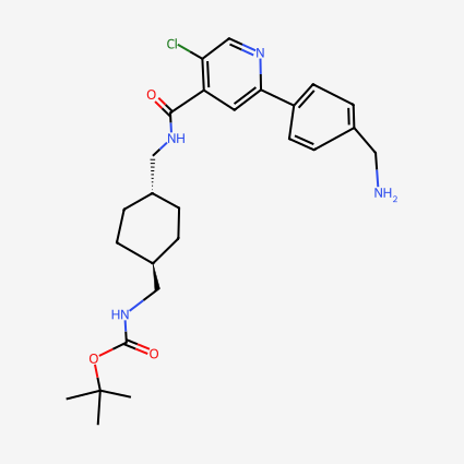 CC(C)(C)OC(=O)NC[C@H]1CC[C@H](CNC(=O)c2cc(-c3ccc(CN)cc3)ncc2Cl)CC1